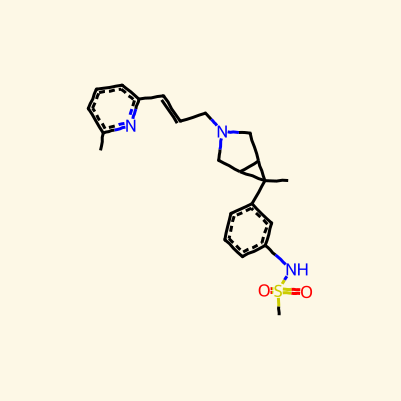 Cc1cccc(C=CCN2CC3C(C2)C3(C)c2cccc(NS(C)(=O)=O)c2)n1